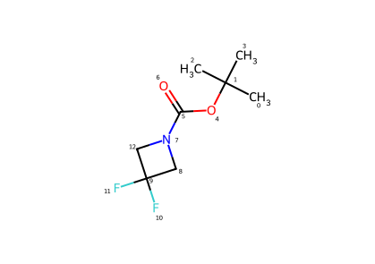 CC(C)(C)OC(=O)N1CC(F)(F)C1